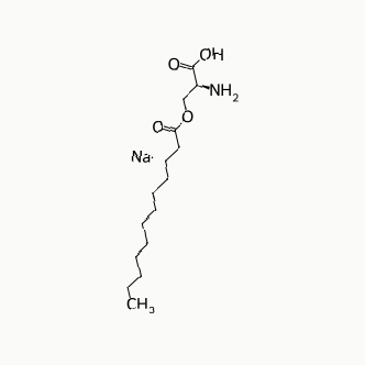 CCCCCCCCCCCC(=O)OC[C@H](N)C(=O)O.[Na]